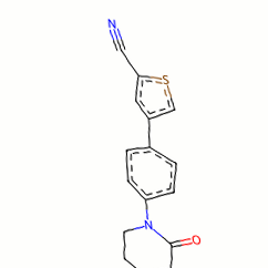 N#Cc1cc(-c2ccc(N3CCC=CC3=O)cc2)cs1